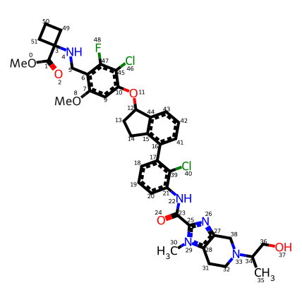 COC(=O)C1(NCc2c(OC)cc(OC3CCc4c(-c5cccc(NC(=O)c6nc7c(n6C)CCN(C(C)CO)C7)c5Cl)cccc43)c(Cl)c2F)CCC1